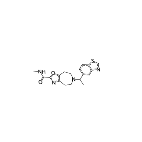 CNC(=O)c1nc2c(o1)CCN(C(C)c1ccc3scnc3c1)CC2